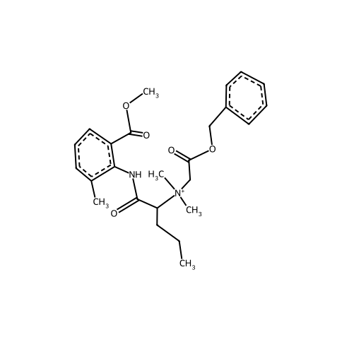 CCCC(C(=O)Nc1c(C)cccc1C(=O)OC)[N+](C)(C)CC(=O)OCc1ccccc1